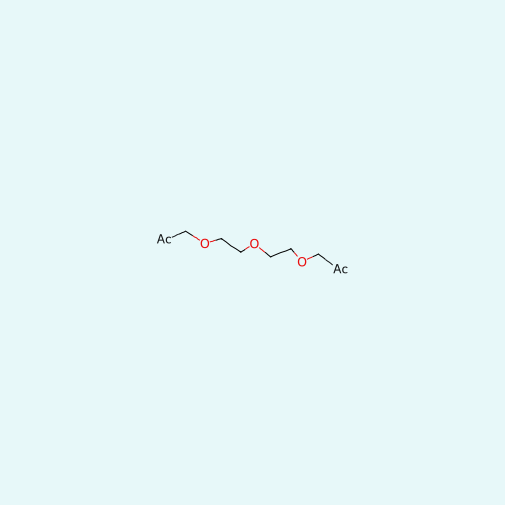 CC(=O)COCCOCCOCC(C)=O